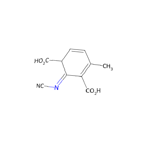 CC1=C(C(=O)O)C(=NC#N)C(C(=O)O)C=C1